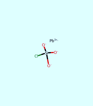 [O-][Si]([O-])([O-])Cl.[Pb+3]